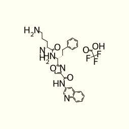 NCCC[C@@H](N)C(=O)N[C@H](CCc1ccccc1)c1nc(C(=O)Nc2cnc3ccccc3c2)co1.O=C(O)C(F)(F)F